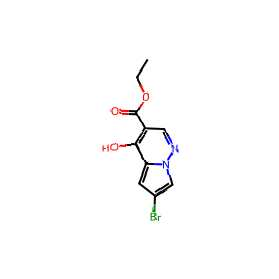 CCOC(=O)c1cnn2cc(Br)cc2c1O